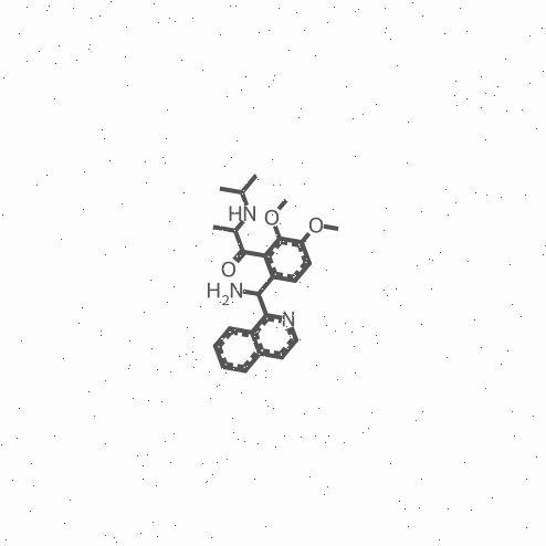 COc1ccc(C(N)c2nccc3ccccc23)c(C(=O)C(C)NC(C)C)c1OC